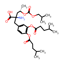 CC(C)CCC(=O)Oc1ccc(CC(N)(C[C@H](C)OC(=O)OCC(C)C)C(=O)O)cc1OC(=O)CCC(C)C